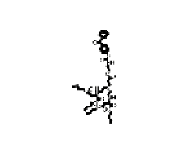 CCCCOC(=O)CC(NCCN(CCNC(CC(=O)OCCCC)C(=O)OCCCC)CCC(=O)OCCNC(=O)Oc1ccc(C(=O)c2ccccc2)cc1)C(=O)OCCCC